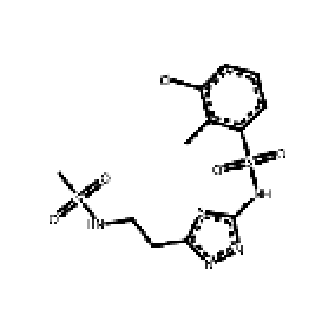 Cc1c(Cl)cccc1S(=O)(=O)Nc1nnc(CCNS(C)(=O)=O)s1